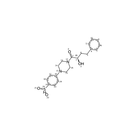 O=C([C@H](O)CCc1ccccc1)N1CCN(c2ccc([SH](=O)=O)cc2)CC1